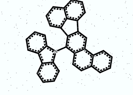 c1cc2c3c(cccc3c1)-c1c-2cc2c(ccc3ccccc32)c1-n1c2ccccc2c2ccccc21